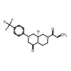 C=CC(=O)N1CCN2C(=O)CN(c3ccc(C(F)(F)F)cc3)C[C@H]2C1